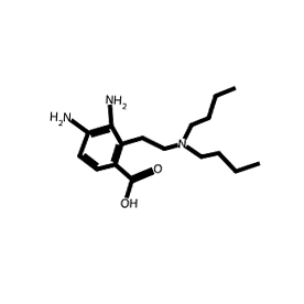 CCCCN(CCCC)CCc1c(C(=O)O)ccc(N)c1N